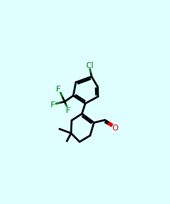 CC1(C)CCC(C=O)=C(c2ccc(Cl)cc2C(F)(F)F)C1